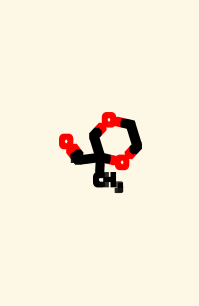 CC1([C]=O)COCCO1